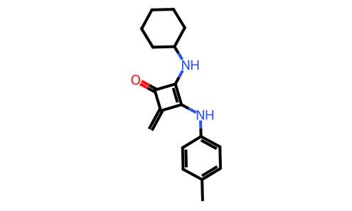 C=C1C(=O)C(NC2CCCCC2)=C1Nc1ccc(C)cc1